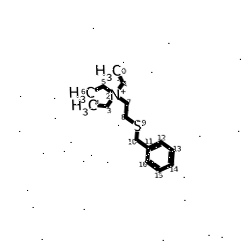 CC[N+](CC)(CC)CCSCc1ccccc1